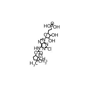 CC[C@@]1(C)C(OC(=O)Nc2nc(Cl)nc3c2ncn3C2OC(CCP(=O)(O)O)C(O)C2O)CCC1(C)C